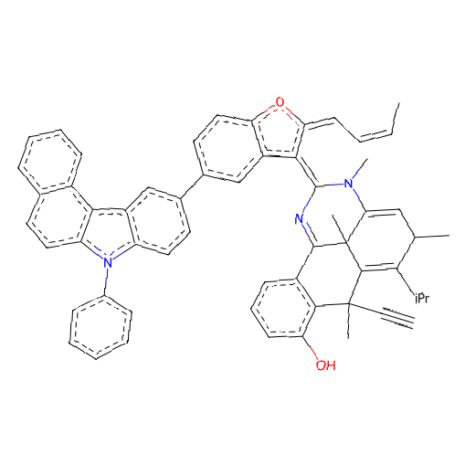 C#CC1(C)C2=C(C(C)C)C(C)C=C3N(C)\C(=c4/c(=C\C=C/C)oc5ccc(-c6ccc7c(c6)c6c8ccccc8ccc6n7-c6ccccc6)cc45)N=C(c4cccc(O)c41)C32C